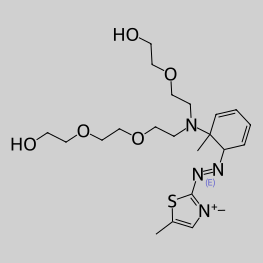 Cc1c[n+](C)c(/N=N/C2C=CC=CC2(C)N(CCOCCO)CCOCCOCCO)s1